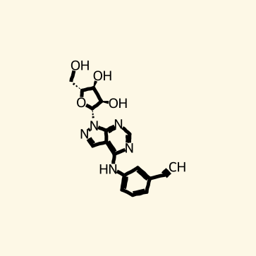 C#Cc1cccc(Nc2ncnc3c2cnn3[C@@H]2O[C@H](CO)[C@@H](O)[C@H]2O)c1